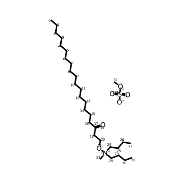 CCCCCCCCCCCCCCCCCC(=O)CCO[N+](C)(CCCC)CCCC.COS(=O)(=O)[O-]